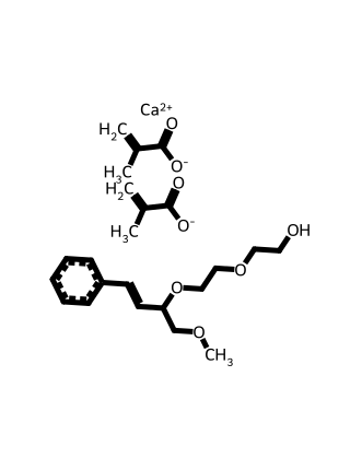 C=C(C)C(=O)[O-].C=C(C)C(=O)[O-].COCC(C=Cc1ccccc1)OCCOCCO.[Ca+2]